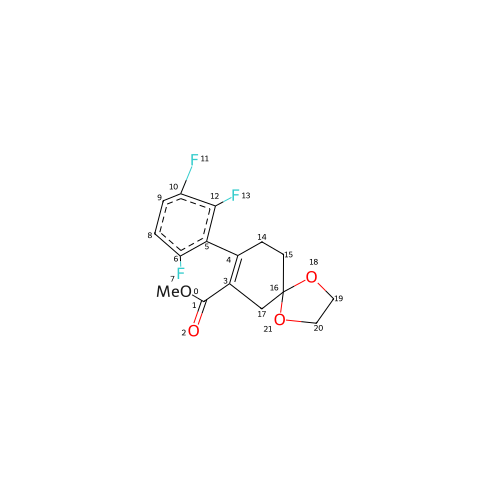 COC(=O)C1=C(c2c(F)ccc(F)c2F)CCC2(C1)OCCO2